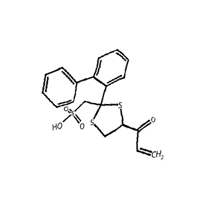 C=CC(=O)C1CSC(CS(=O)(=O)O)(c2ccccc2-c2ccccc2)S1